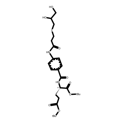 CC(C)(C)OC(=O)CC[C@H](NC(=O)c1ccc(NC(=O)CCSCC(O)CO)cc1)C(=O)OC(C)(C)C